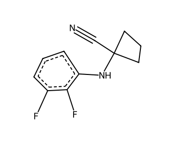 N#CC1(Nc2cccc(F)c2F)CCC1